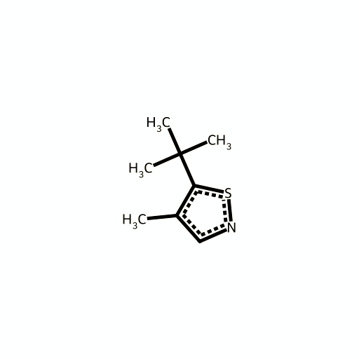 Cc1cnsc1C(C)(C)C